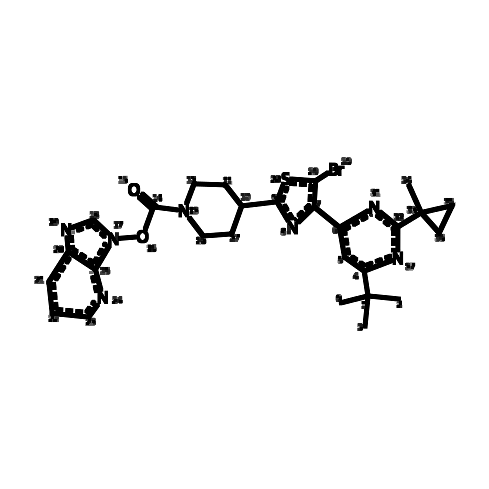 CC(C)(C)c1cc(-c2nc(C3CCN(C(=O)On4cnc5cccnc54)CC3)sc2Br)nc(C2(C)CC2)n1